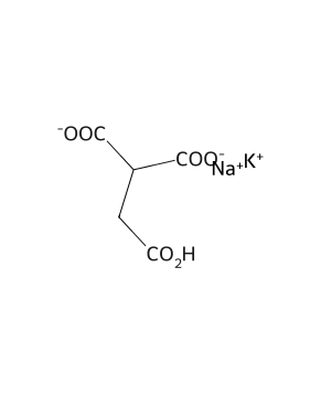 O=C(O)CC(C(=O)[O-])C(=O)[O-].[K+].[Na+]